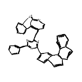 c1ccc(-c2nc(-c3ccc4ccc5ccc6ccccc6c5c4c3)nc(-c3ccnc4oc5ccccc5c34)n2)cc1